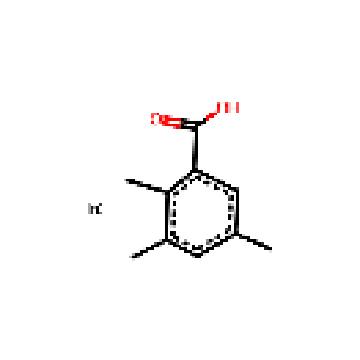 Cc1cc(C)c(C)c(C(=O)O)c1.[In]